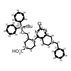 CC(C)(C)[Si](OCC1CN(C(=O)O)CCN1c1nc(Cl)nc2c1CCN(Cc1ccccc1)C2)(c1ccccc1)c1ccccc1